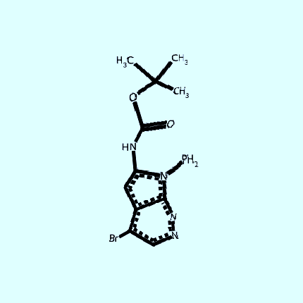 CC(C)(C)OC(=O)Nc1cc2c(Br)cnnc2n1P